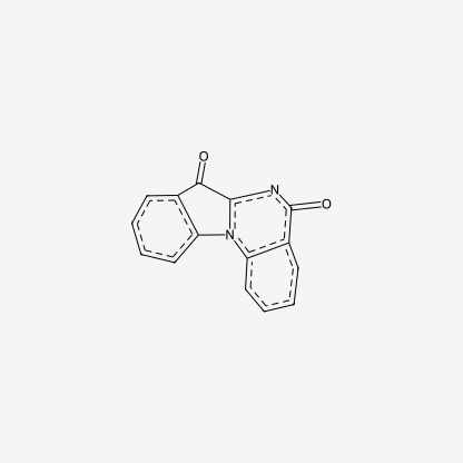 O=C1c2ccccc2-n2c1nc(=O)c1ccccc12